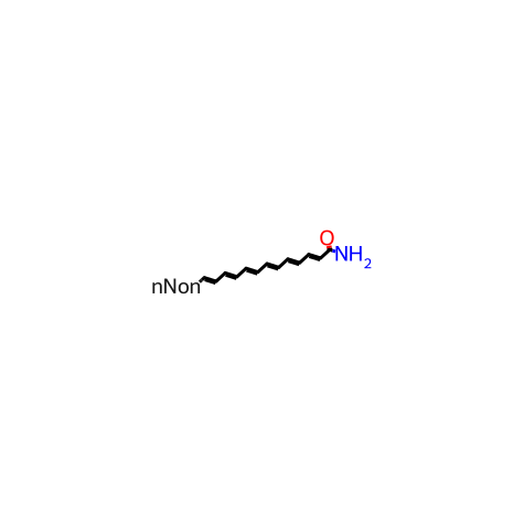 CCCCCCCCCC=CC=CC=CC=CC=CC=CC(N)=O